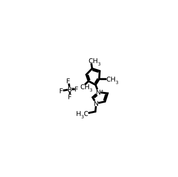 CCn1cc[n+](-c2c(C)cc(C)cc2C)c1.F[B-](F)(F)F